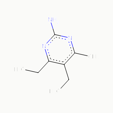 CCc1nc(N)nc(C)c1CC